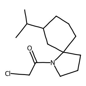 CC(C)C1CCCC2(CCCN2C(=O)CCl)C1